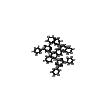 c1ccc(-c2nc(-c3ccccc3)nc(-c3c4ccccc4c(-c4nc(-c5ccccc5)nc(-c5ccccc5)n4)c4cc5c(cc34)c(-c3cccnc3)cc3ccccc35)n2)cc1